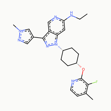 CCNc1cc2c(cn1)c(-c1cnn(C)c1)nn2[C@H]1CC[C@@H](Oc2nccc(C)c2F)CC1